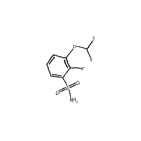 NS(=O)(=O)c1cccc(OC(F)F)c1F